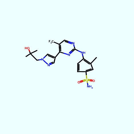 Cc1cc(S(N)(=O)=O)ccc1Nc1ncc(C(F)(F)F)c(-c2cnn(CC(C)(C)O)c2)n1